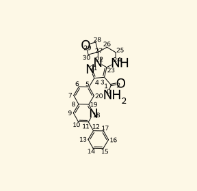 NC(=O)c1c(-c2ccc3ccc(-c4ccccc4)nc3c2)nn2c1NCCC21COC1